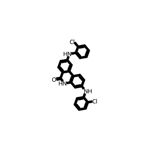 O=c1[nH]c2cc(Nc3ccccc3Cl)ccc2c2cc(Nc3ccccc3Cl)ccc12